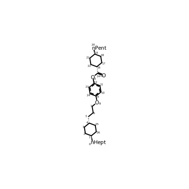 CCCCCCC[C@H]1CC[C@H](CCCOc2ccc(OC(=O)[C@H]3CC[C@H](CCCCC)CC3)cc2)CC1